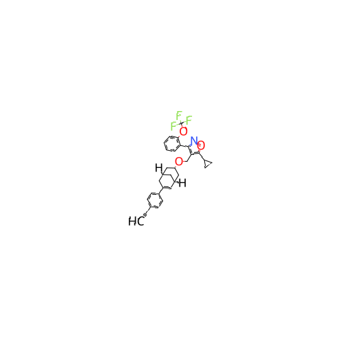 C#Cc1ccc(C2=C[C@@H]3C[C@H](C2)C[C@H](OCc2c(-c4ccccc4OC(F)(F)F)noc2C2CC2)C3)cc1